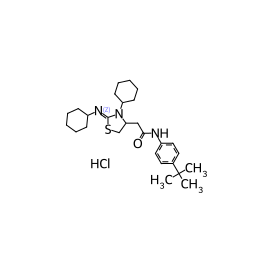 CC(C)(C)c1ccc(NC(=O)CC2CS/C(=N\C3CCCCC3)N2C2CCCCC2)cc1.Cl